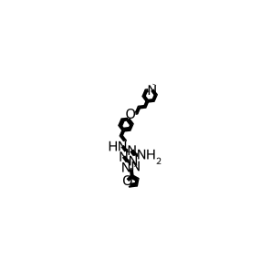 CN1CCC(CCCOc2ccc(CCNc3nc(N)n4nc(-c5ccco5)nc4n3)cc2)CC1